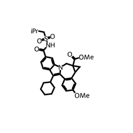 COC(=O)C12CC1c1cc(OC)ccc1-c1c(C3CCCCC3)c3ccc(C(=O)NS(=O)(=O)CC(C)C)cc3n1C2